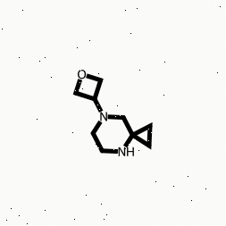 C1CN(C2COC2)CC2(CC2)N1